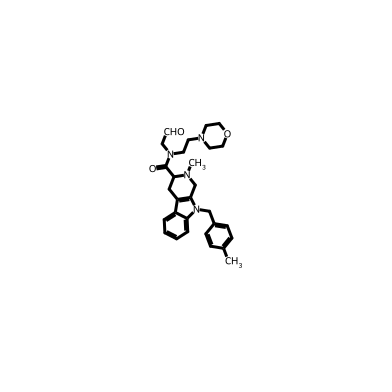 Cc1ccc(Cn2c3c(c4ccccc42)CC(C(=O)N(CC=O)CCN2CCOCC2)N(C)C3)cc1